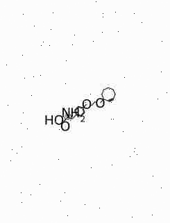 N[C@@H](Cc1ccc(OCCOC2C#CCCCCC2)cc1)C(=O)O